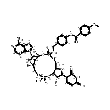 COc1ccc(C(=O)Oc2ccc(CSP3(=O)OC[C@H]4OC(C5C=CC(=O)NC5=O)[C@H](F)C4OP(=O)(O)OC[C@H]4O[C@@H](n5cnc6c(N)ncnc65)[C@H](O3)[C@@H]4F)cc2)cc1